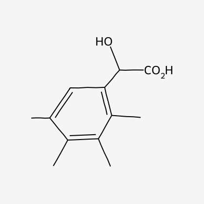 Cc1cc(C(O)C(=O)O)c(C)c(C)c1C